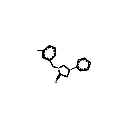 O=C1C[C@H](c2ccccc2)CN1Cc1cccc(I)c1